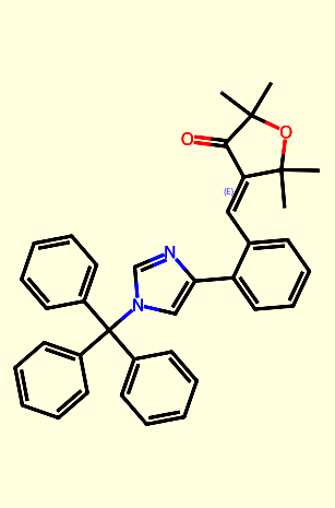 CC1(C)OC(C)(C)/C(=C\c2ccccc2-c2cn(C(c3ccccc3)(c3ccccc3)c3ccccc3)cn2)C1=O